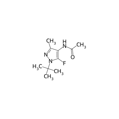 CC(=O)Nc1c(C)nn(C(C)(C)C)c1F